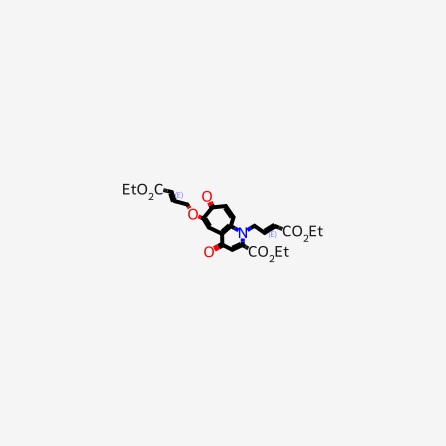 CCOC(=O)/C=C/COc1cc2c(=O)cc(C(=O)OCC)n(C/C=C/C(=O)OCC)c2ccc1=O